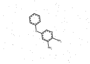 Nc1cc(Oc2ccccc2)cnc1N